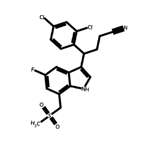 CS(=O)(=O)Cc1cc(F)cc2c(C(CCC#N)c3ccc(Cl)cc3Cl)c[nH]c12